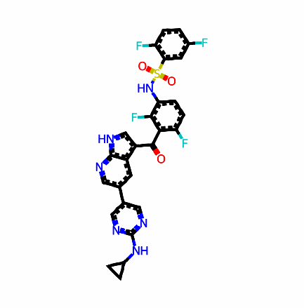 O=C(c1c(F)ccc(NS(=O)(=O)c2cc(F)ccc2F)c1F)c1c[nH]c2ncc(-c3cnc(NC4CC4)nc3)cc12